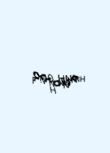 O=C(NC1CCN(c2nccc(Nc3cc[nH]n3)n2)CC1)c1ccc(-c2cccc(F)c2)nc1